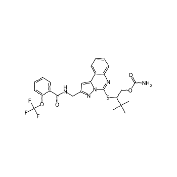 CC(C)(C)C(COC(N)=O)Sc1nc2ccccc2c2cc(CNC(=O)c3ccccc3OC(F)(F)F)nn12